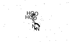 O=P(O)(O)OSc1ccncn1